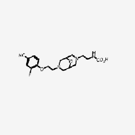 N#Cc1ccc(OCCN2CC3CN(CCNC(=O)O)CC(C2)O3)c(F)c1